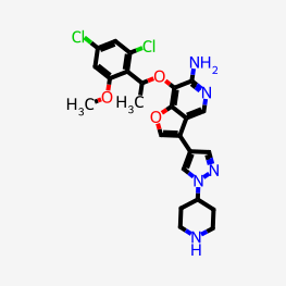 COc1cc(Cl)cc(Cl)c1C(C)Oc1c(N)ncc2c(-c3cnn(C4CCNCC4)c3)coc12